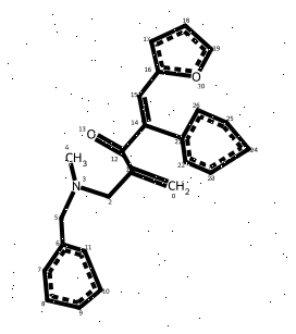 C=C(CN(C)Cc1ccccc1)C(=O)C(=Cc1ccco1)c1ccccc1